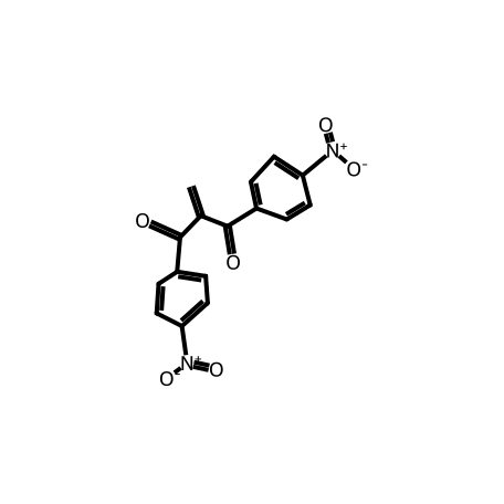 C=C(C(=O)c1ccc([N+](=O)[O-])cc1)C(=O)c1ccc([N+](=O)[O-])cc1